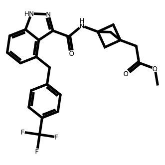 COC(=O)CC12CC(NC(=O)c3n[nH]c4cccc(Cc5ccc(C(F)(F)F)cc5)c34)(C1)C2